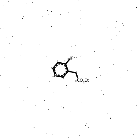 CCOC(=O)Cc1cnccc1C(C)C